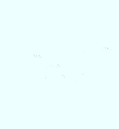 COc1ccc(Cn2cc(CC3CC3)c(N)n2)cc1